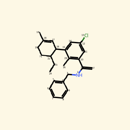 C=C(NCc1ccccc1)c1cc(Cl)cc(C2C=C(C)CCC2CC)c1C